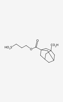 O=C(O)C12CC3CC(C1)CC(C(=O)OCCCS(=O)(=O)O)(C3)C2